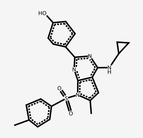 Cc1ccc(S(=O)(=O)n2c(C)cc3c(NC4CC4)nc(-c4ccc(O)cc4)nc32)cc1